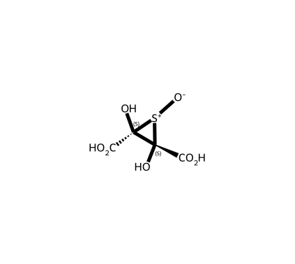 O=C(O)[C@]1(O)[S+]([O-])[C@@]1(O)C(=O)O